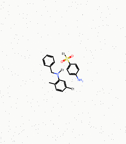 CCS(=O)(=O)c1ccc(N)cc1.CCc1ccc(C)c(N(CC)Cc2ccccc2)c1